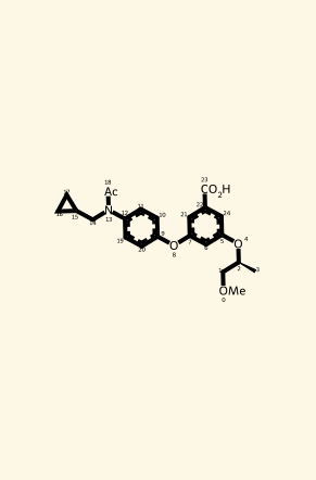 COC[C@H](C)Oc1cc(Oc2ccc(N(CC3CC3)C(C)=O)cc2)cc(C(=O)O)c1